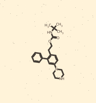 CC(C)(C)NC(=O)OCCc1ccc(N2CCNCC2)cc1-c1ccccc1